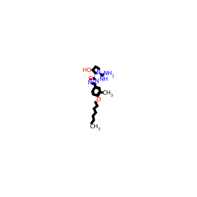 CCCCCCCCOc1ccc(-c2noc([C@@H]3[C@@H](O)CCN3C(=N)N)n2)cc1C